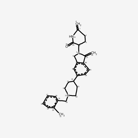 C=C1CCC(N2Cc3cc(C4CCN(Cc5ccccc5C)CC4)ccc3C2=C)C(=O)N1